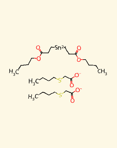 CCCCOC(=O)C[CH2][Sn+2][CH2]CC(=O)OCCCC.CCCCSCC(=O)[O-].CCCCSCC(=O)[O-]